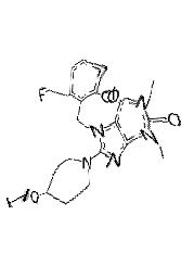 Cn1c(=O)c2c(nc(N3CCC(O)CC3)n2Cc2c(F)cccc2Cl)n(C)c1=O